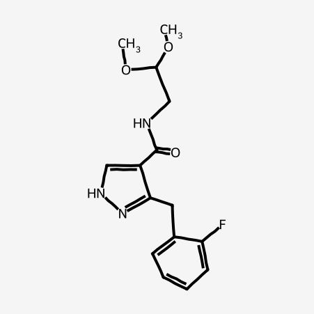 COC(CNC(=O)c1c[nH]nc1Cc1ccccc1F)OC